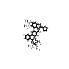 Cc1cc2nc(C3CCCC3)n(Cc3ccc(-c4ccccc4C(=O)OC(C)(C)C)cc3)c2cc1C